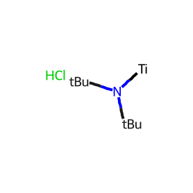 CC(C)(C)[N]([Ti])C(C)(C)C.Cl